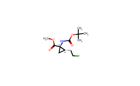 COC(=O)[C@@]1(NC(=O)OC(C)(C)C)C[C@H]1CCF